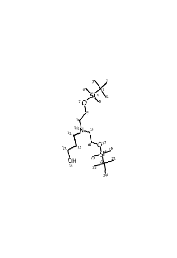 CC(C)(C)[Si](C)(C)OCCN(CCCO)CCO[Si](C)(C)C(C)(C)C